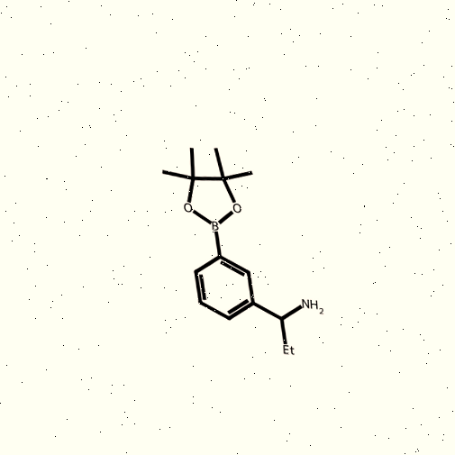 CCC(N)c1cccc(B2OC(C)(C)C(C)(C)O2)c1